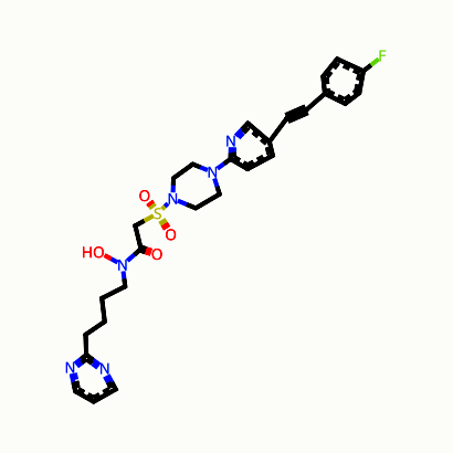 O=C(CS(=O)(=O)N1CCN(c2ccc(C#Cc3ccc(F)cc3)cn2)CC1)N(O)CCCCc1ncccn1